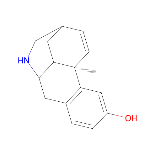 C[C@]12C=CC3CNC(Cc4ccc(O)cc41)C2C3